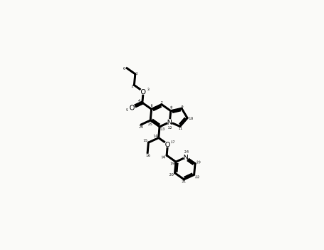 CCCOC(=O)c1cc2cccn2c(C(CC)OCc2ccccn2)c1C